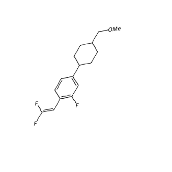 COCC1CCC(c2ccc(C=C(F)F)c(F)c2)CC1